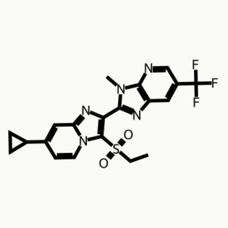 CCS(=O)(=O)c1c(-c2nc3cc(C(F)(F)F)cnc3n2C)nc2cc(C3CC3)ccn12